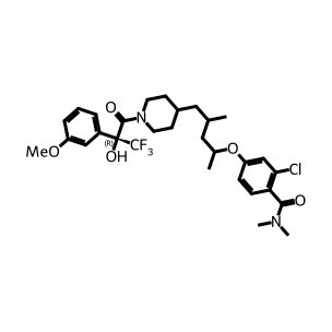 COc1cccc([C@@](O)(C(=O)N2CCC(CC(C)CC(C)Oc3ccc(C(=O)N(C)C)c(Cl)c3)CC2)C(F)(F)F)c1